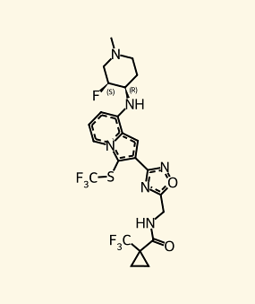 CN1CC[C@@H](Nc2cccn3c(SC(F)(F)F)c(-c4noc(CNC(=O)C5(C(F)(F)F)CC5)n4)cc23)[C@@H](F)C1